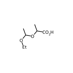 CCOC(C)OC(C)C(=O)O